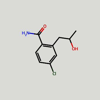 CC(O)Cc1cc(Cl)ccc1C(N)=O